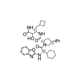 CC(C)[C@@H]1C[C@@H](C(=O)NC(CC2CCC2)C(O)C(N)=O)N(C(=O)[C@@H](Nc2nc3ccccc3o2)C2CCCCC2)C1